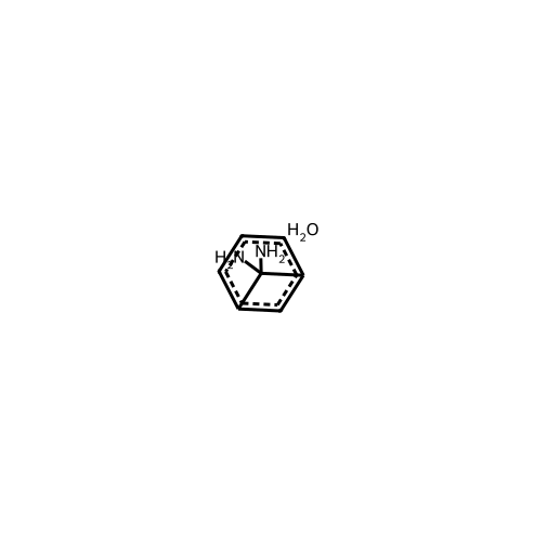 NC1(N)c2cccc1c2.O